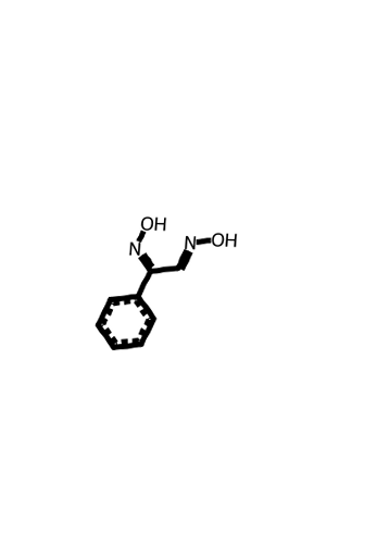 ON=CC(=NO)c1ccccc1